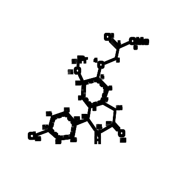 COC(=O)COc1cc2c(cc1OC(C)C)[C@H](c1ccc(Cl)cc1)NC(=O)C2